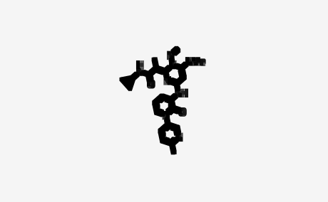 C=NN1C(NC)=CC(Nc2cccn(-c3ccc(C)nc3)c2=O)=N/C1=C(/C)C(=O)NC1CC1